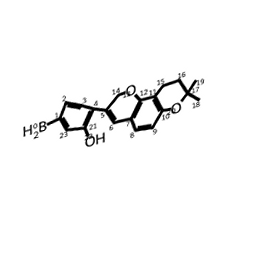 Bc1ccc(C2=Cc3ccc4c(c3OC2)CCC(C)(C)O4)c(O)c1